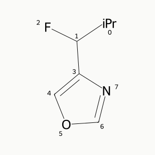 CC(C)C(F)c1cocn1